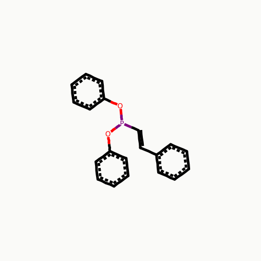 C(=C\P(Oc1ccccc1)Oc1ccccc1)/c1ccccc1